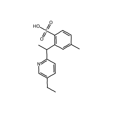 CCc1ccc(C(C)c2cc(C)ccc2S(=O)(=O)O)nc1